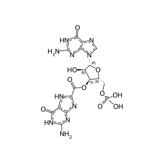 Nc1nc2c(ncn2[C@@H]2O[C@H](COP(=O)(O)O)[C@@H](OC(=O)c3nc4nc(N)[nH]c(=O)c4[nH]3)[C@H]2O)c(=O)[nH]1